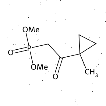 COP(=O)(CC(=O)C1(C)CC1)OC